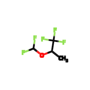 CC(OC(F)F)C(F)(F)F